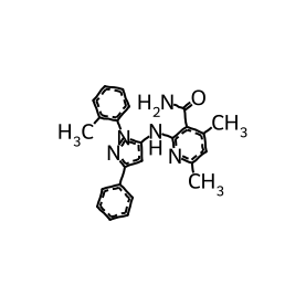 Cc1cc(C)c(C(N)=O)c(Nc2cc(-c3ccccc3)nn2-c2ccccc2C)n1